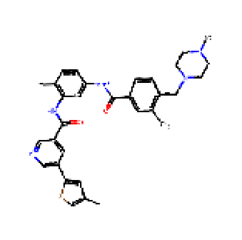 CCN1CCN(Cc2ccc(C(=O)Nc3ccc(C)c(NC(=O)c4cncc(-c5cc(C)cs5)c4)c3)cc2C(F)(F)F)CC1